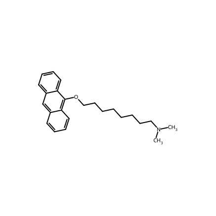 CN(C)CCCCCCCCOc1c2ccccc2cc2ccccc12